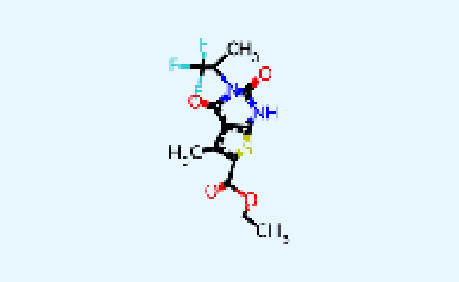 CCOC(=O)c1sc2[nH]c(=O)n(C(C)C(F)(F)F)c(=O)c2c1C